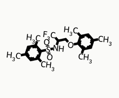 Cc1cc(C)c(OCC(NS(=O)(=O)c2c(C)cc(C)cc2C)C(F)(F)F)c(C)c1